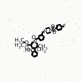 CC(C)OC(=O)C1=CN(C(=O)c2cccc(CN3CCN(S(=O)(=O)c4ccc(F)cc4)CC3)c2)CC(C)(C)c2c1[nH]c1ccccc21